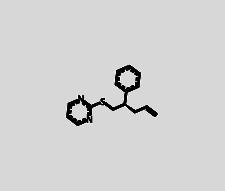 C=CC[C@@H](CSc1ncccn1)c1ccccc1